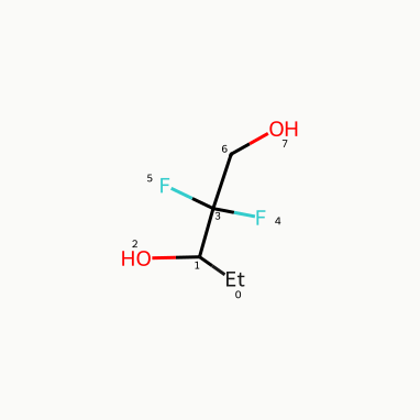 CCC(O)C(F)(F)CO